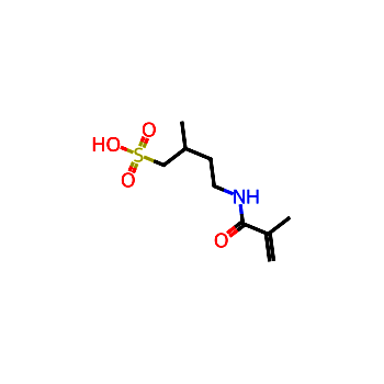 C=C(C)C(=O)NCCC(C)CS(=O)(=O)O